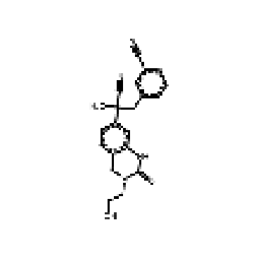 CC(C#N)(Cc1cccc(C#N)c1)c1ccc2c(c1)NC(=O)N(CCO)C2